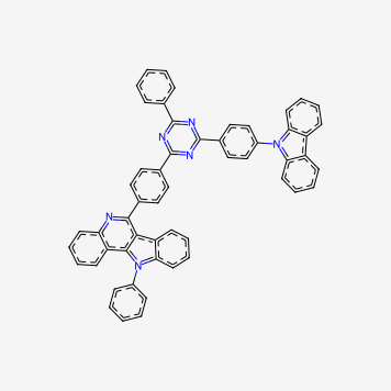 c1ccc(-c2nc(-c3ccc(-c4nc5ccccc5c5c4c4ccccc4n5-c4ccccc4)cc3)nc(-c3ccc(-n4c5ccccc5c5ccccc54)cc3)n2)cc1